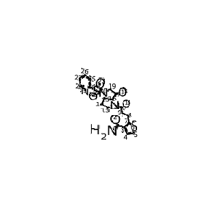 NC(=O)c1ccsc1C[CH]C(=O)N1CCC2C1C(=O)CN2S(=O)(=O)c1ccccn1